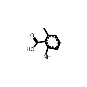 Cc1cccc([NH])c1C(=O)O